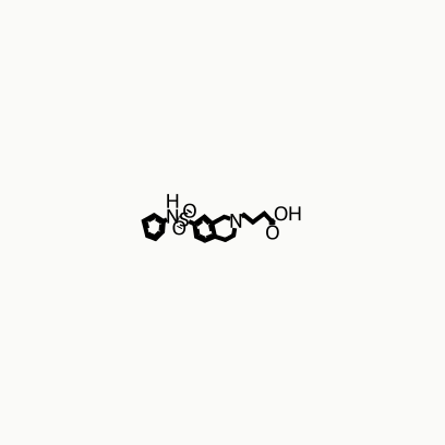 O=C(O)CCCN1CCc2ccc(S(=O)(=O)Nc3ccccc3)cc2C1